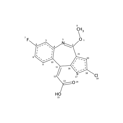 COC1=Nc2cc(F)ccc2/C(=C/C(=O)O)c2sc(Cl)cc21